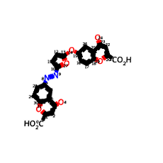 O=C(O)c1cc(=O)c2cc(N=Nc3ccc(Oc4ccc5oc(C(=O)O)cc(=O)c5c4)o3)ccc2o1